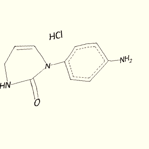 Cl.Nc1ccc(N2C=CCNC2=O)cc1